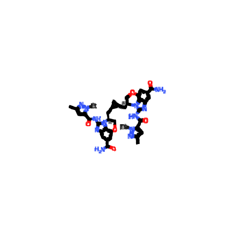 CCn1nc(C)cc1C(=O)Nc1nc2cc(C(N)=O)cc3c2n1[C@@H](CC1CC1C[C@H]1COc2cc(C(N)=O)cc4nc(NC(=O)c5cc(C)nn5CC)n1c24)CO3